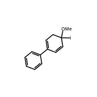 COC1(I)C=CC(c2ccccc2)=CC1